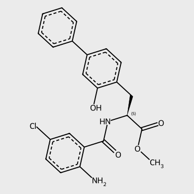 COC(=O)[C@H](Cc1ccc(-c2ccccc2)cc1O)NC(=O)c1cc(Cl)ccc1N